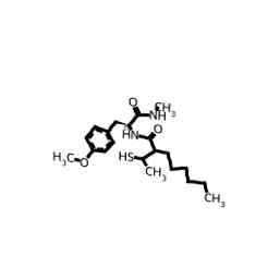 CCCCCCC(C(=O)N[C@@H](Cc1ccc(OC)cc1)C(=O)NC)C(C)S